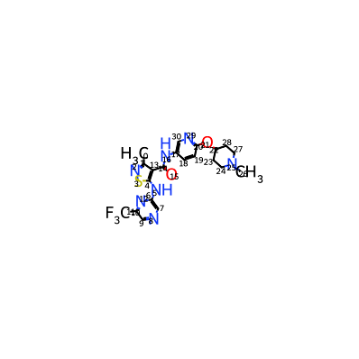 Cc1nsc(Nc2cncc(C(F)(F)F)n2)c1C(=O)Nc1ccc(OC2CCN(C)CC2)nc1